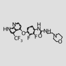 O=C(NCCN1CCOCC1)Nc1ccc(Oc2ccnc3[nH]cc(C(F)(F)F)c23)c(F)c1F